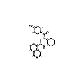 C[C@@H](N[C@H]1CCCC[C@@H]1NC(=O)c1ccc(Cl)cc1)c1cccc2ccccc12